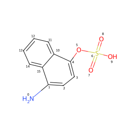 Nc1ccc(OS(=O)(=O)O)c2ccccc12